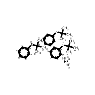 CC(C)(C)Sc1ccccc1.CC(C)(C)Sc1ccccc1.CC(C)(C)Sc1ccccc1.F.F.F